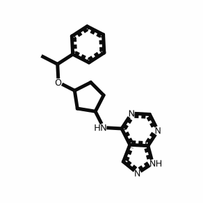 CC(OC1CCC(Nc2ncnc3[nH]ncc23)C1)c1ccccc1